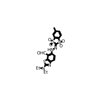 CCN(CC)c1nc2ccc(N/N=C3/S(=O)(=O)c4ccc(C)cc4S3(=O)=O)c(C=O)c2s1